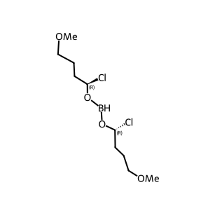 COCCC[C@@H](Cl)OBO[C@H](Cl)CCCOC